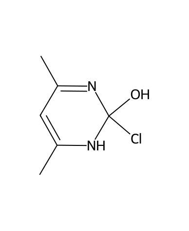 CC1=CC(C)=NC(O)(Cl)N1